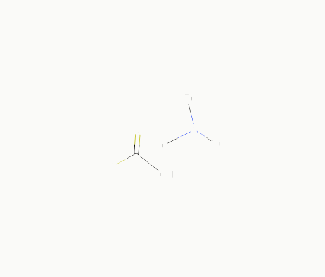 CC(=S)S.CCN(CC)CC